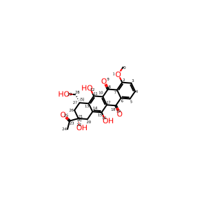 COc1cccc2c1C(=O)c1c(O)c3c(c(O)c1C2=O)C[C@@](O)(C(C)=O)C[C@@H]3CO